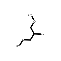 CC(C)OCC(COC(C)C)C(C)C